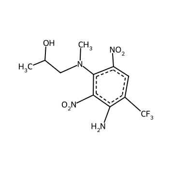 CC(O)CN(C)c1c([N+](=O)[O-])cc(C(F)(F)F)c(N)c1[N+](=O)[O-]